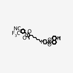 CC1=C(CCCCCCN2CCN(S(=O)(=O)c3cccc4c(N(C)C)cccc34)CC2)C(=O)N(c2ccc(C#N)c(C(F)(F)F)c2)C1=O